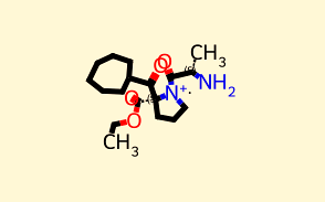 CCOC(=O)[C@@]1(C(=O)C2CCCCCC2)CCC[N+]1C(=O)[C@H](C)N